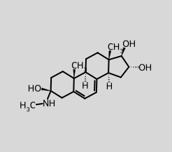 CN[C@]1(O)CC[C@@]2(C)C(=CC=C3[C@@H]4C[C@@H](O)[C@H](O)[C@@]4(C)CC[C@@H]32)C1